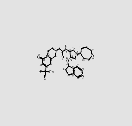 O=C(CN1CCn2c(cc(C(F)(F)F)cc2=O)C1)NC1CN(C2CCCOCC2)C[C@@H]1OC1CCc2cnccc21